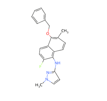 Cc1ccc2c(Nc3ccn(C)n3)c(F)ccc2c1OCc1ccccc1